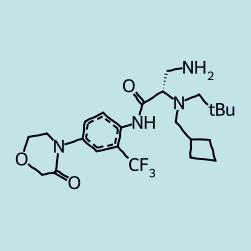 CC(C)(C)CN(CC1CCC1)[C@@H](CN)C(=O)Nc1ccc(N2CCOCC2=O)cc1C(F)(F)F